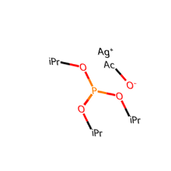 CC(=O)[O-].CC(C)OP(OC(C)C)OC(C)C.[Ag+]